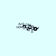 C#C[C@H]1O[C@@H](n2cnc3c(Nc4ccc(F)cc4Cl)ncnc32)[C@H](OC(C)=O)[C@@H]1OC(C)=O